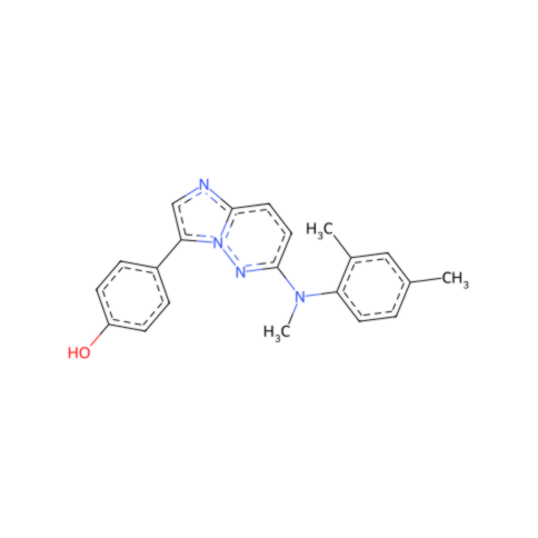 Cc1ccc(N(C)c2ccc3ncc(-c4ccc(O)cc4)n3n2)c(C)c1